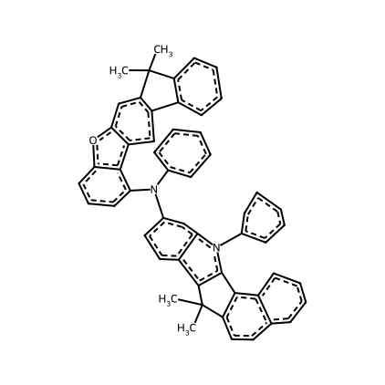 CC1(C)c2ccccc2-c2cc3c(cc21)oc1cccc(N(c2ccccc2)c2ccc4c5c(n(-c6ccccc6)c4c2)-c2c(ccc4ccccc24)C5(C)C)c13